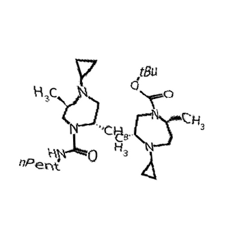 CCCCCNC(=O)N1C[C@@H](C)N(C2CC2)C[C@@H]1C.C[C@@H]1CN(C(=O)OC(C)(C)C)[C@@H](C)CN1C1CC1